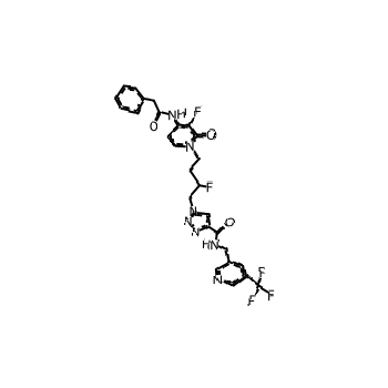 O=C(Cc1ccccc1)Nc1ccn(CCC(F)Cn2cc(C(=O)NCc3cncc(C(F)(F)F)c3)nn2)c(=O)c1F